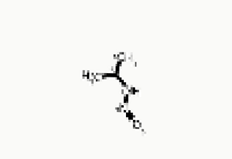 CC(C)NN=O